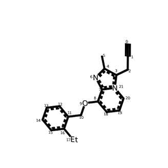 C#CCc1c(C)nc2c(OCc3ccccc3CC)cccn12